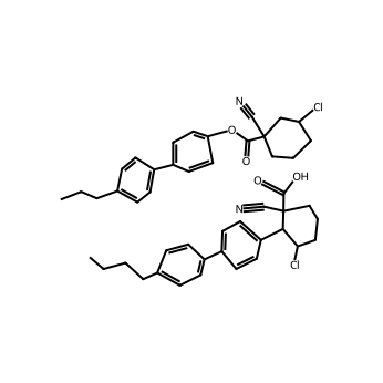 CCCCc1ccc(-c2ccc(C3C(Cl)CCCC3(C#N)C(=O)O)cc2)cc1.CCCc1ccc(-c2ccc(OC(=O)C3(C#N)CCCC(Cl)C3)cc2)cc1